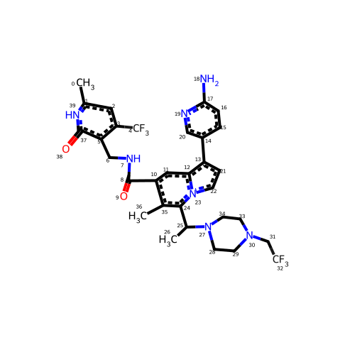 Cc1cc(C(F)(F)F)c(CNC(=O)c2cc3c(-c4ccc(N)nc4)ccn3c(C(C)N3CCN(CC(F)(F)F)CC3)c2C)c(=O)[nH]1